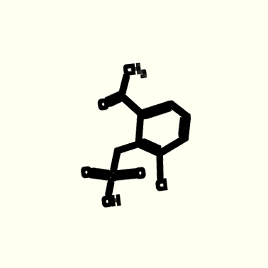 CC(=O)c1cccc(Cl)c1CS(=O)(=O)O